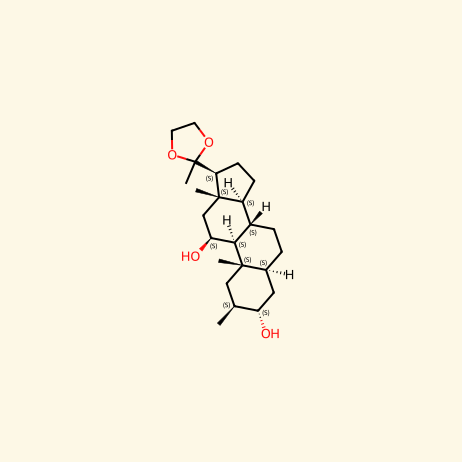 C[C@H]1C[C@@]2(C)[C@@H](CC[C@@H]3[C@@H]2[C@@H](O)C[C@]2(C)[C@@H](C4(C)OCCO4)CC[C@@H]32)C[C@@H]1O